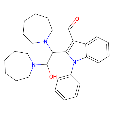 O=Cc1c(C(C(O)N2CCCCCC2)N2CCCCCC2)n(-c2ccccc2)c2ccccc12